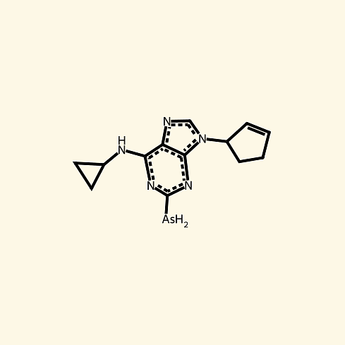 [AsH2]c1nc(NC2CC2)c2ncn(C3C=CCC3)c2n1